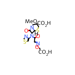 COC1(C(=O)O)CS[C@@H]2C(N(C(=O)C=NOCC(=O)O)c3cscn3)C(=O)N2C1